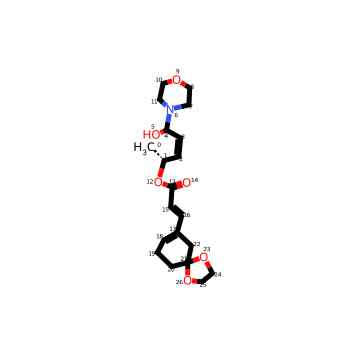 C[C@H](/C=C\C(O)N1CCOCC1)OC(=O)/C=C/C1=CCCC2(C1)OCCO2